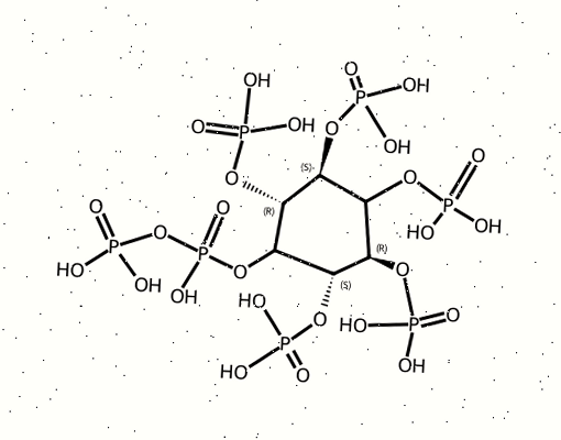 O=P(O)(O)OC1[C@@H](OP(=O)(O)O)[C@H](OP(=O)(O)O)C(OP(=O)(O)OP(=O)(O)O)[C@H](OP(=O)(O)O)[C@H]1OP(=O)(O)O